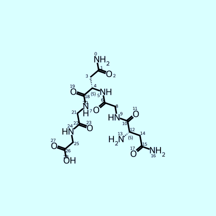 NC(=O)C[C@H](NC(=O)CNC(=O)[C@@H](N)CC(N)=O)C(=O)NCC(=O)NCC(=O)O